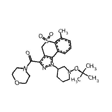 Cc1cccc2c1S(=O)(=O)Cc1c(C(=O)N3CCOCC3)nn(C3CCCN(OC(C)(C)C)C3)c1-2